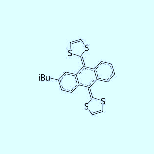 CCC(C)c1ccc2c(=C3SC=CS3)c3ccccc3c(=C3SC=CS3)c2c1